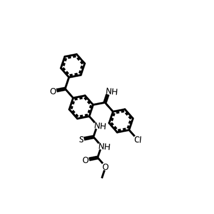 COC(=O)NC(=S)Nc1ccc(C(=O)c2ccccc2)cc1C(=N)c1ccc(Cl)cc1